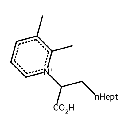 CCCCCCCCC(C(=O)O)[n+]1cccc(C)c1C